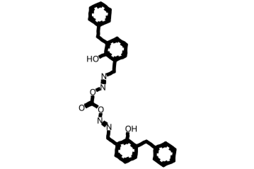 O=C(O/N=N/Cc1cccc(Cc2ccccc2)c1O)O/N=N/Cc1cccc(Cc2ccccc2)c1O